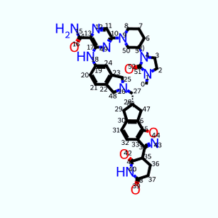 CN1CCN([C@@H]2CCCN(c3cnc(C(N)=O)c(Nc4ccc5c(c4)CN(C[C@H]4Cc6ccc7c(C8CCC(=O)NC8=O)noc7c6C4)C5)n3)C2)C1=O